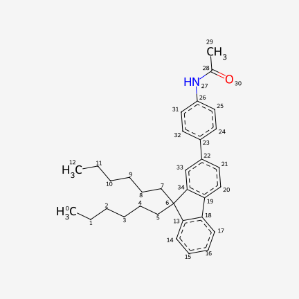 CCCCCCC1(CCCCCC)c2ccccc2-c2ccc(-c3ccc(NC(C)=O)cc3)cc21